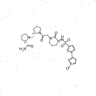 NC(=O)[C@@H]1CCCN1C[C@@H]1CCCN1C(=O)CN1CCC[C@H](NS(=O)(=O)c2ccc(-c3ccc(Cl)s3)s2)C1=O